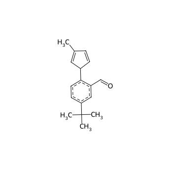 CC1=CC(c2ccc(C(C)(C)C)cc2C=O)C=C1